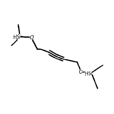 C[SiH](C)OCC#CCO[SiH](C)C